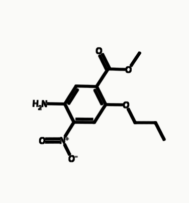 CCCOc1cc([N+](=O)[O-])c(N)cc1C(=O)OC